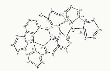 N#Cc1cccc(-c2ccccc2-n2c3ccccc3c3ccccc32)c1N1c2ccccc2C(c2ccccc2)(c2ccccc2)c2ccccc21